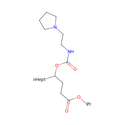 [CH2]C([CH2])OC(=O)CCC(CCCCCCC)OC(=O)NCCN1CCCC1